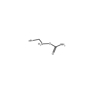 CCCC[SiH2]OC(N)=O